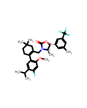 COc1cc(F)c(C(C)C)cc1C1=C(CN2C(=O)O[C@H](c3cc(C)cc(C(F)(F)F)c3)[C@H]2C)CC(C)(C)CC1